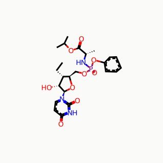 CC[C@H]1[C@@H](O)[C@H](n2ccc(=O)[nH]c2=O)O[C@@H]1COP(=O)(N[C@@H](C)C(=O)OC(C)C)Oc1ccccc1